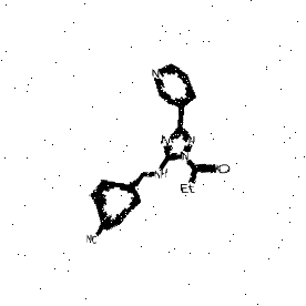 CCC(=O)n1nc(-c2cccnc2)nc1NCc1ccc(C#N)cc1